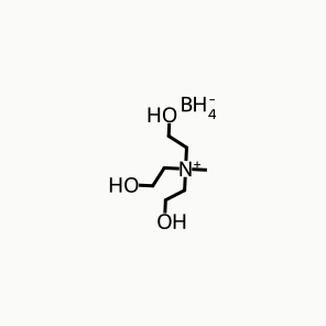 C[N+](CCO)(CCO)CCO.[BH4-]